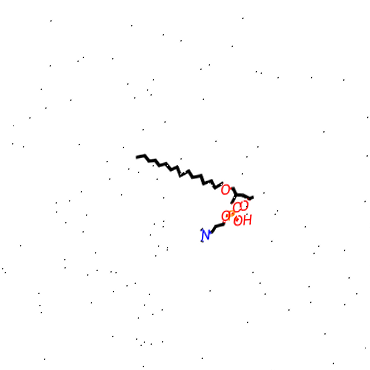 CCCCCCCCCCCCCCCCOCC(COP(O)OCCCN(C)C)CC(C)=O